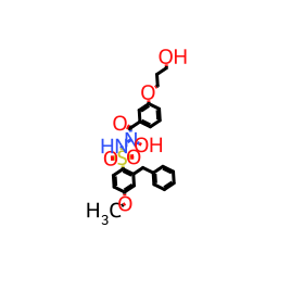 COc1ccc(S(=O)(=O)NN(O)C(=O)c2cccc(OCCCO)c2)c(Cc2ccccc2)c1